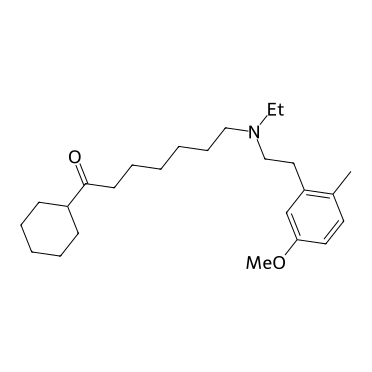 CCN(CCCCCCC(=O)C1CCCCC1)CCc1cc(OC)ccc1C